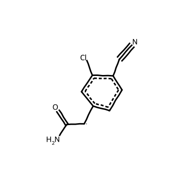 N#Cc1ccc([CH]C(N)=O)cc1Cl